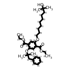 CCOC(=O)c1cc(OC(C)(C)Cc2ccccc2)c(C(=O)OCC)cc1OCCCCCCCCC(C)(C)O